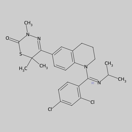 CC(C)/N=C(/c1ccc(Cl)cc1Cl)N1CCCc2cc(C3=NN(C)C(=O)SC3(C)C)ccc21